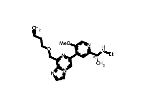 C=CCCOCc1nc(-c2cc([C@@H](C)NCC)ncc2OC)cn2ccnc12